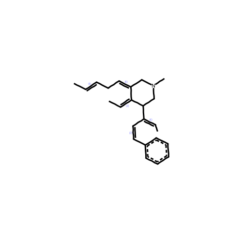 C/C=C1\C(=C/C/C=C/C)CN(C)CC1C(/C=C\c1ccccc1)=C/C